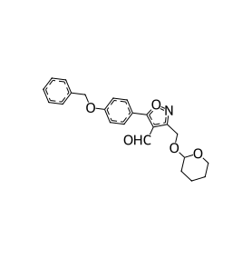 O=Cc1c(COC2CCCCO2)noc1-c1ccc(OCc2ccccc2)cc1